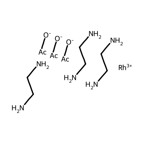 CC(=O)[O-].CC(=O)[O-].CC(=O)[O-].NCCN.NCCN.NCCN.[Rh+3]